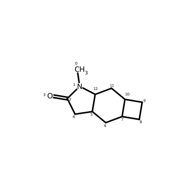 CN1C(=O)CC2CC3CCC3CC21